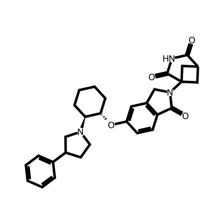 O=C1NC(=O)C2(N3Cc4cc(O[C@H]5CCCC[C@@H]5N5CCC(c6ccccc6)C5)ccc4C3=O)CC1C2